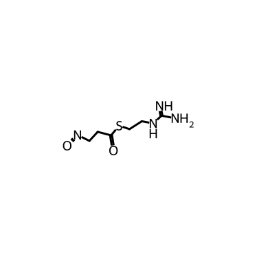 N=C(N)NCCSC(=O)CCN=O